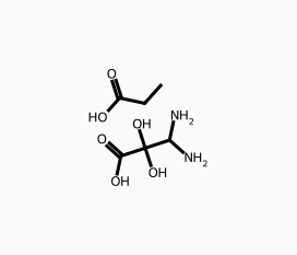 CCC(=O)O.NC(N)C(O)(O)C(=O)O